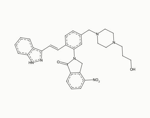 O=C1c2cccc([N+](=O)[O-])c2CN1c1cc(CN2CCN(CCCO)CC2)ccc1C=Cc1n[nH]c2ccccc12